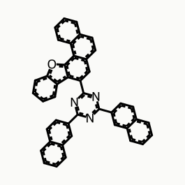 c1ccc2cc(-c3nc(-c4ccc5ccccc5c4)nc(-c4cc5ccc6ccccc6c5c5oc6ccccc6c45)n3)ccc2c1